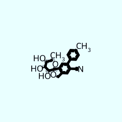 Cc1ccc(-c2cc3c(cc2C#N)CO[C@]32O[C@H](C)[C@@H](O)[C@H](O)[C@H]2O)cc1